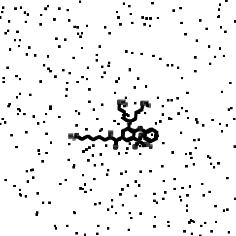 CCCCCCNC(=O)c1cc(N(CCCC)CCCC)c(Oc2ccccc2)c(S(N)(=O)=O)c1